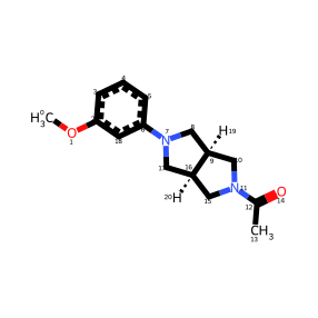 COc1cccc(N2C[C@H]3CN(C(C)=O)C[C@H]3C2)c1